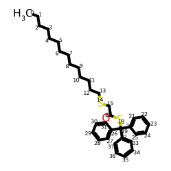 CCCCCCCCCCCCCCSCC(=O)SC(c1ccccc1)(c1ccccc1)c1ccccc1